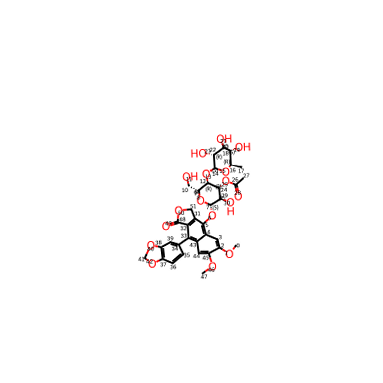 COc1cc2c(O[C@@H]3O[C@H](CO)[C@@H](O[C@@H]4O[C@H](C)[C@@H](O)[C@H](O)[C@H]4O)[C@H](OC(C)=O)[C@H]3O)c3c(c(-c4ccc5c(c4)OCO5)c2cc1OC)C(=O)OC3